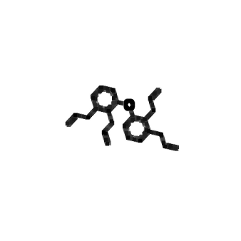 C=CCc1cccc(Oc2cccc(CC=C)c2CC=C)c1CC=C